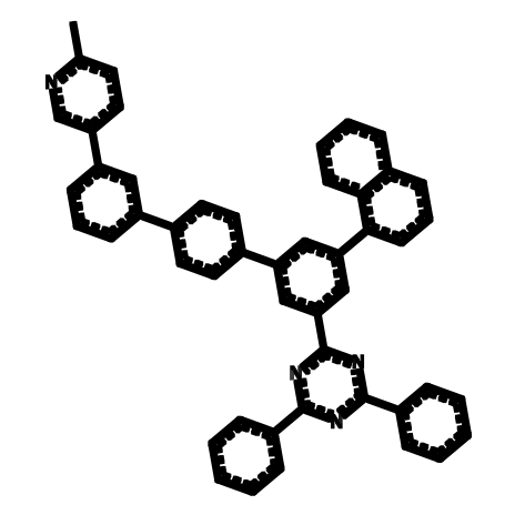 Cc1ccc(-c2cccc(-c3ccc(-c4cc(-c5nc(-c6ccccc6)nc(-c6ccccc6)n5)cc(-c5cccc6ccccc56)c4)cc3)c2)cn1